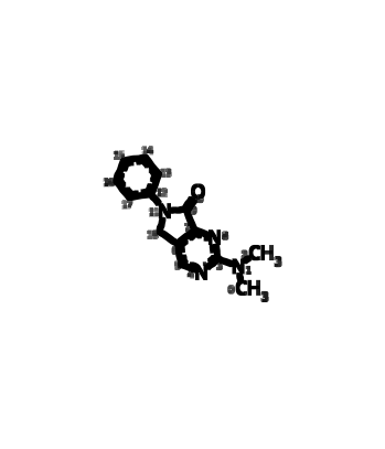 CN(C)c1ncc2c(n1)C(=O)N(c1ccccc1)C2